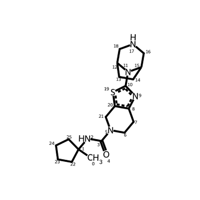 CC1(NC(=O)N2CCc3nc(N4C5CCC4CNC5)sc3C2)CCCC1